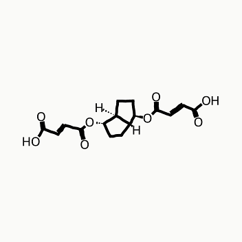 O=C(O)/C=C/C(=O)O[C@H]1CC[C@H]2[C@@H]1CC[C@H]2OC(=O)/C=C/C(=O)O